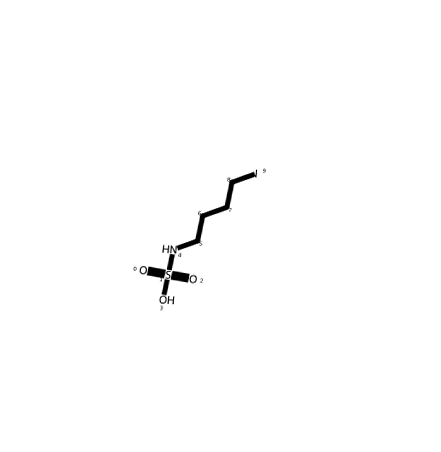 O=S(=O)(O)NCCCCI